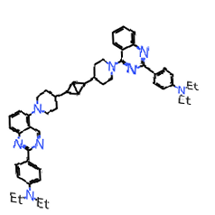 CCN(CC)c1ccc(-c2ncc3c(N4CCC(C5C6C(C7CCN(c8nc(-c9ccc(N(CC)CC)cc9)nc9ccccc89)CC7)C56)CC4)cccc3n2)cc1